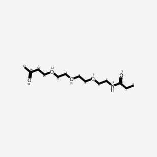 CCC(=O)NCCOCCOCCOCCC(C)=O